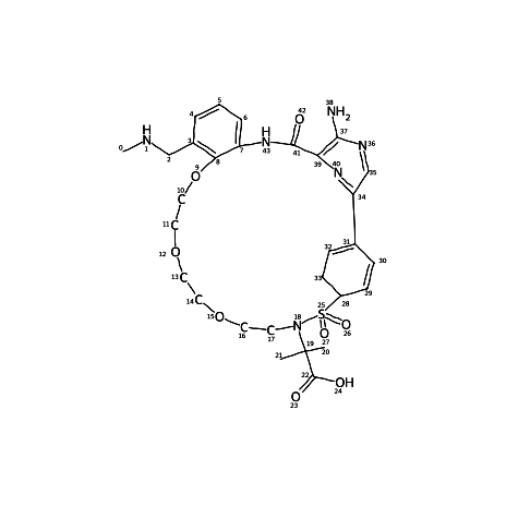 CNCc1cccc2c1OCCOCCOCCN(C(C)(C)C(=O)O)S(=O)(=O)C1C=CC(=CC1)c1cnc(N)c(n1)C(=O)N2